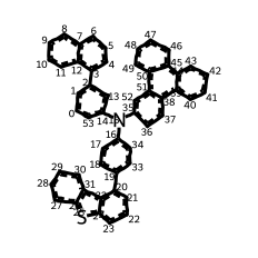 c1cc(-c2cccc3ccccc23)cc(N(c2ccc(-c3cccc4sc5ccccc5c34)cc2)c2ccc3c4ccccc4c4ccccc4c3c2)c1